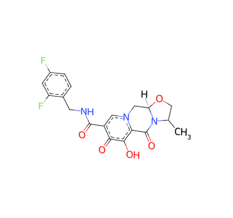 CC1CO[C@@H]2Cn3cc(C(=O)NCc4ccc(F)cc4F)c(=O)c(O)c3C(=O)N12